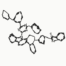 C1=CC(c2cccc(-c3nc(-c4ccccc4)nc(-n4c5ccccc5c5ccc6c(c54)CCC(c4ccc(-c5nc7ccccc7s5)cc4)c4ccccc4-6)n3)c2)=CCC1